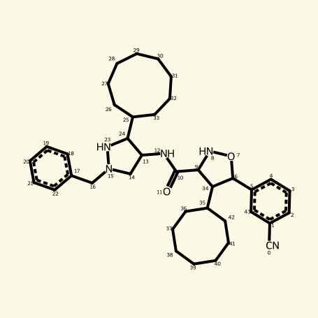 N#Cc1cccc(C2ONC(C(=O)NC3CN(Cc4ccccc4)NC3C3CCCCCCCC3)C2C2CCCCCCC2)c1